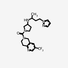 CC(CCn1cccn1)NC1CCN(C(=O)N2CCc3ncc(C(F)(F)F)cc3C2)C1